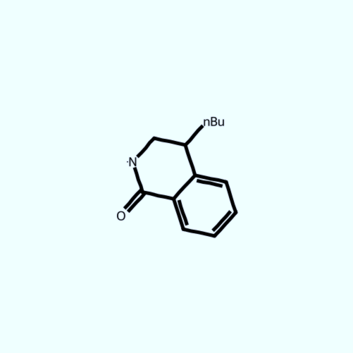 CCCCC1C[N]C(=O)c2ccccc21